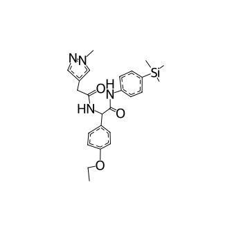 CCOc1ccc(C(NC(=O)Cc2cnn(C)c2)C(=O)Nc2ccc([Si](C)(C)C)cc2)cc1